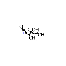 CCCC(C)(O)C(C)/C=C/C=O